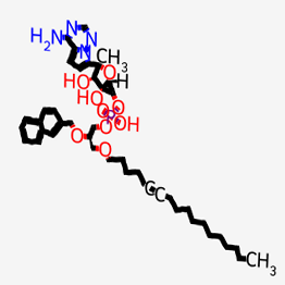 CCCCCCCCCCCCCCCCCCOC[C@H](COP(=O)(O)OC1[C@H]2O[C@@](C)(c3ccc4c(N)ncnn34)[C@H](O)[C@@]12O)OCc1ccc2ccccc2c1